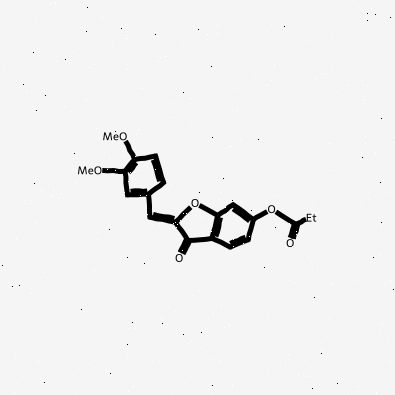 CCC(=O)Oc1ccc2c(c1)OC(=Cc1ccc(OC)c(OC)c1)C2=O